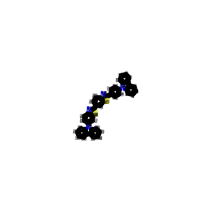 c1ccc2c(c1)c1ccccc1n2-c1ccc(-c2nc3ccc(-c4nc5ccc(-n6c7ccccc7c7ccccc76)cc5s4)cc3s2)cc1